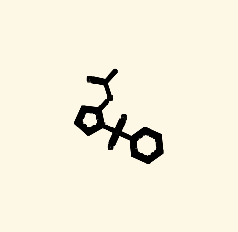 CC(=O)Oc1cccn1S(=O)(=O)c1ccccc1